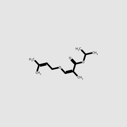 CC(C)=CCOC=C(C)C(=O)OC(C)C